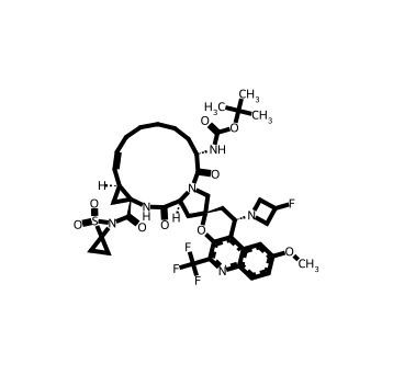 COc1ccc2nc(C(F)(F)F)c3c(c2c1)[C@@H](N1CC(F)C1)C[C@]1(C[C@H]2C(=O)N[C@]4(C(=O)N5C6(CC6)S5(=O)=O)C[C@H]4/C=C\CCCCC[C@H](NC(=O)OC(C)(C)C)C(=O)N2C1)O3